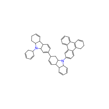 C1=CCC(N2C3C=C(C4C=CC5C6C=CC=CC6N(c6ccc7c8c(c9ccccc9c7c6)C=CCC8)C5C4)C=CC3C3C=CCCC32)C=C1